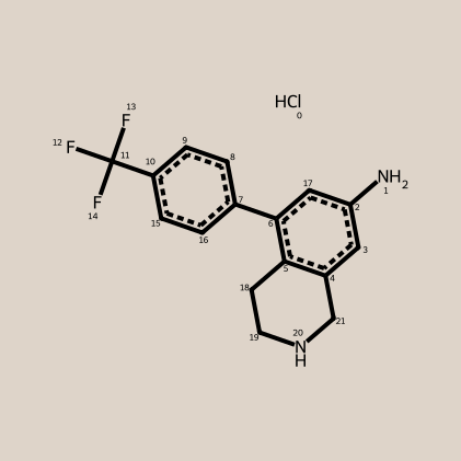 Cl.Nc1cc2c(c(-c3ccc(C(F)(F)F)cc3)c1)CCNC2